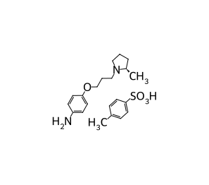 C[C@@H]1CCCN1CCCOc1ccc(N)cc1.Cc1ccc(S(=O)(=O)O)cc1